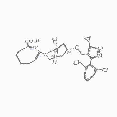 O=C(O)/C1=N/C(N2C[C@H]3C[C@H](OCc4c(-c5c(Cl)cccc5Cl)noc4C4CC4)C[C@H]3C2)=C\CCCC1